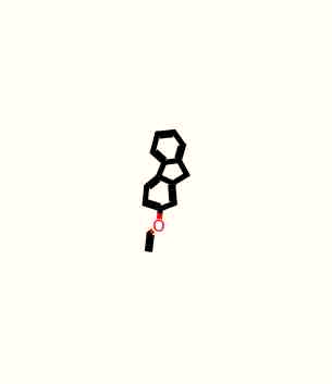 C=COc1ccc2c(c1)Cc1ccccc1-2